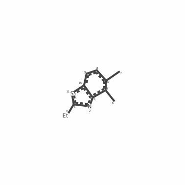 CCc1nc2c(C)c(C)ccc2s1